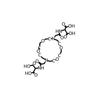 O=C(CN1CCOCCOCCN(CC(=O)NC(C(=O)O)C(=O)O)CCOCCOCC1)NC(C(=O)O)C(=O)O